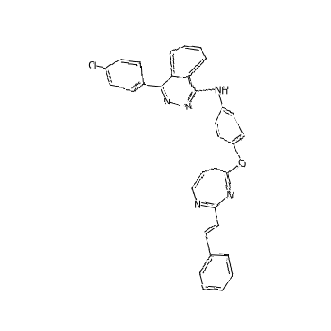 Clc1ccc(-c2nnc(Nc3ccc(Oc4ccnc(C=Cc5ccccc5)n4)cc3)c3ccccc23)cc1